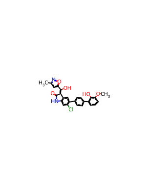 COc1cccc(-c2ccc(-c3cc4c(cc3Cl)NC(=O)C4=C(O)c3cc(C)no3)cc2)c1O